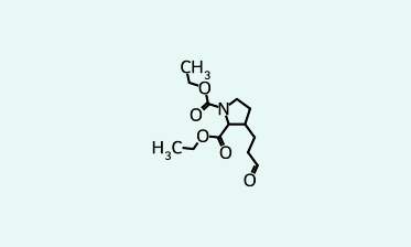 CCOC(=O)C1C(CCC=O)CCN1C(=O)OCC